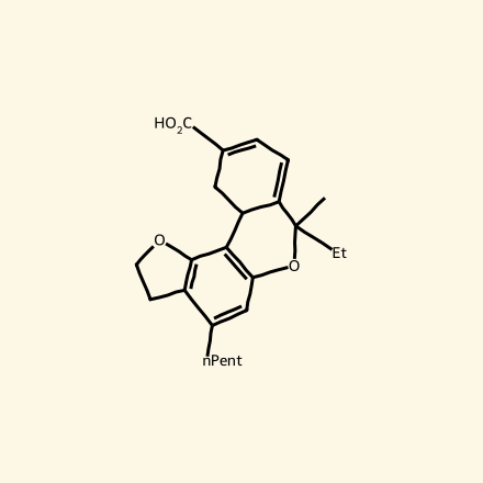 CCCCCc1cc2c(c3c1CCO3)C1CC(C(=O)O)=CC=C1C(C)(CC)O2